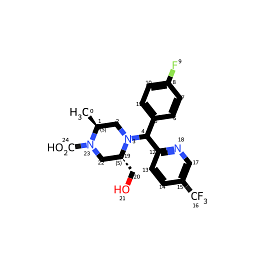 C[C@H]1CN(C(c2ccc(F)cc2)c2ccc(C(F)(F)F)cn2)[C@H](CO)CN1C(=O)O